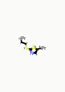 CC(C)CCSc1ncc(C(C)C)s1